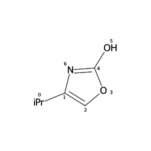 CC(C)c1coc(O)n1